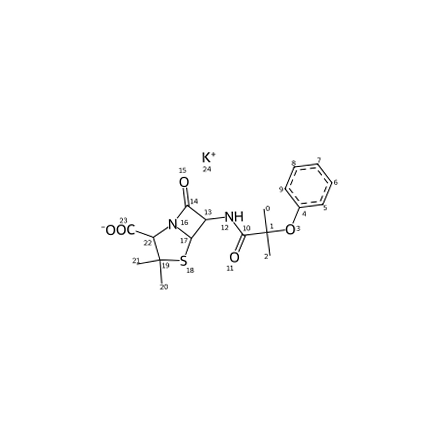 CC(C)(Oc1ccccc1)C(=O)NC1C(=O)N2C1SC(C)(C)C2C(=O)[O-].[K+]